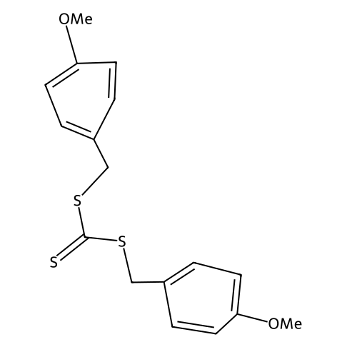 COc1ccc(CSC(=S)SCc2ccc(OC)cc2)cc1